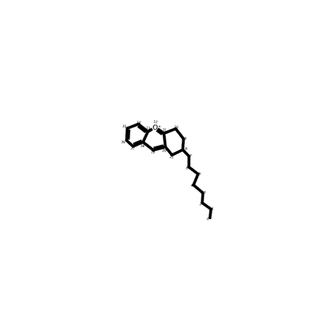 CCCCCCCCC1CCc2[o+]c3ccccc3cc2C1